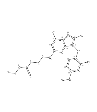 CCOC(=O)CCCOc1cc(C)c2nc(C)n(Cc3ccc(CC)cc3Cl)c2c1